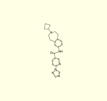 O=C(Nc1ccc2c(c1)CCN(C1CCC1)CC2)c1ccc(-n2cncn2)nc1